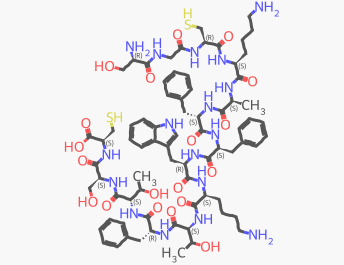 CC(O)[C@H](NC(=O)[C@H](CCCCN)NC(=O)[C@@H](Cc1c[nH]c2ccccc12)NC(=O)[C@H](Cc1ccccc1)NC(=O)[C@H](Cc1ccccc1)NC(=O)[C@H](C)NC(=O)[C@H](CCCCN)NC(=O)[C@H](CS)NC(=O)CNC(=O)[C@H](N)CO)C(=O)N[C@H](Cc1ccccc1)C(=O)N[C@H](C(=O)N[C@@H](CO)C(=O)N[C@H](CS)C(=O)O)C(C)O